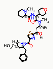 CCO[C@H](C[C@H](C(C)C)N(C)C(=O)[C@@H](NC(=O)[C@H]1CCCCN1C)C1CCOCC1)c1nc(C(=O)N[C@@H](Cc2ccccc2)C[C@H](C)C(=O)O)cs1